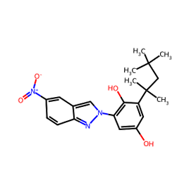 CC(C)(C)CC(C)(C)c1cc(O)cc(-n2cc3cc([N+](=O)[O-])ccc3n2)c1O